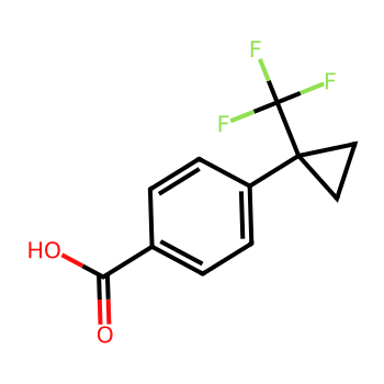 O=C(O)c1ccc(C2(C(F)(F)F)CC2)cc1